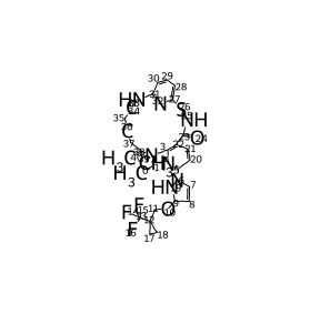 CCN1c2nc(N3C=CC(OCC4(C(F)(F)F)CC4)N3)ccc2C(=O)NSc2cccc(n2)NCCCCC1(C)C